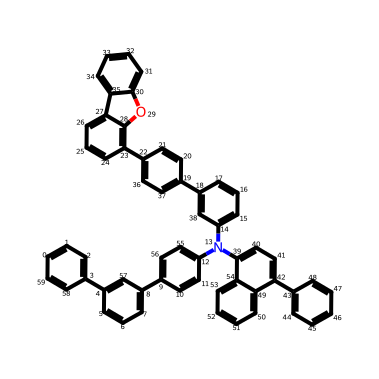 c1ccc(-c2cccc(-c3ccc(N(c4cccc(-c5ccc(-c6cccc7c6oc6ccccc67)cc5)c4)c4ccc(-c5ccccc5)c5ccccc45)cc3)c2)cc1